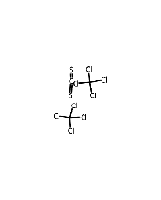 ClC(Cl)(Cl)Cl.ClC(Cl)(Cl)Cl.S=C=S